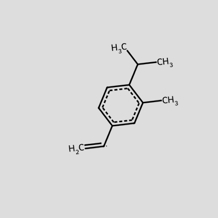 C=[C]c1ccc(C(C)C)c(C)c1